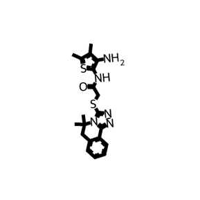 Cc1sc(NC(=O)CSc2nnc3n2C(C)(C)Cc2ccccc2-3)c(N)c1C